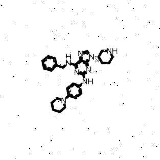 c1ccc(CNc2nc(Nc3ccc(N4CCCCC4)cc3)nc3c2ncn3[C@H]2CCCNC2)cc1